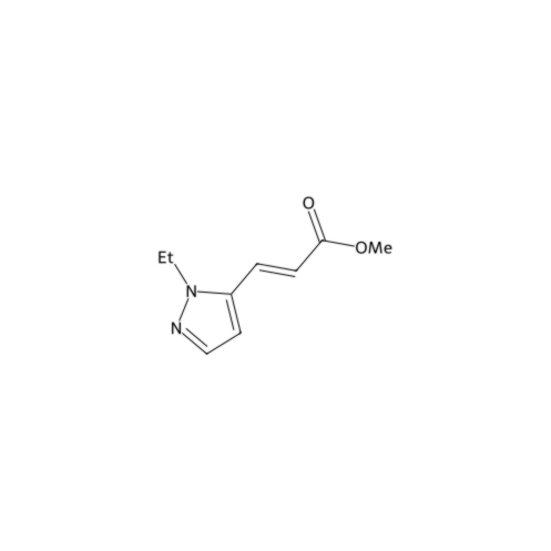 CCn1nccc1/C=C/C(=O)OC